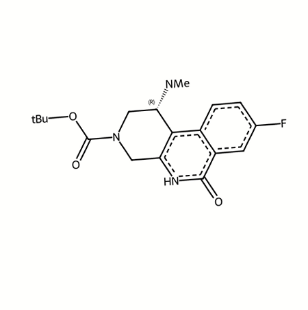 CN[C@H]1CN(C(=O)OC(C)(C)C)Cc2[nH]c(=O)c3cc(F)ccc3c21